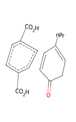 CCCC1=CCC(=O)C=C1.O=C(O)c1ccc(C(=O)O)cc1